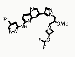 COC(CN1CC(OC(F)F)C1)Cn1cc(-c2cnc3ccc(Nc4cc(C(C)C)cnn4)nc3c2)cn1